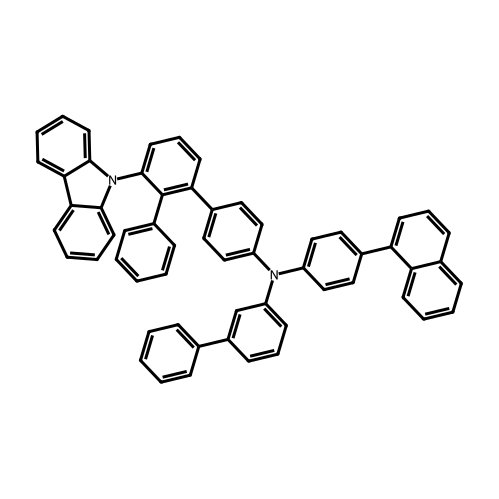 c1ccc(-c2cccc(N(c3ccc(-c4cccc(-n5c6ccccc6c6ccccc65)c4-c4ccccc4)cc3)c3ccc(-c4cccc5ccccc45)cc3)c2)cc1